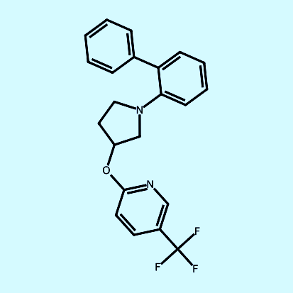 FC(F)(F)c1ccc(OC2CCN(c3ccccc3-c3ccccc3)C2)nc1